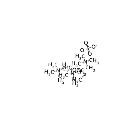 C=CC(=O)[O-].C[N+](C)(C)C.C[N+](C)(C)C.C[N+](C)(C)C.O=S(=O)([O-])[O-]